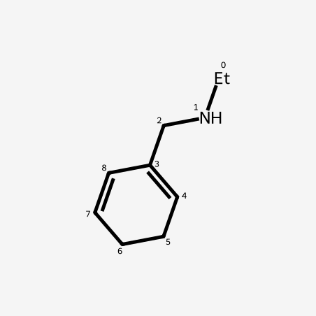 CCNCC1=CCCC=C1